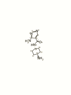 Nc1ncncc1C(=O)N[C@H]1CC[C@H](N)CC1